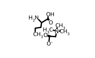 CCCC(N)C(=O)O.C[N+](C)(C)CC(=O)[O-]